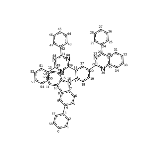 c1ccc(-c2ccc3c(c2)c2ccccc2n3-c2ccc(-c3nc(-c4ccccc4)c4ccccc4n3)cc2-c2nc(-c3ccccc3)nc(-c3ccccc3)n2)cc1